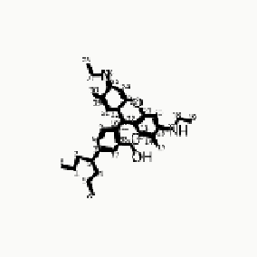 CCCC(CCC)c1ccc(C2c3cc(C)c(NCC)cc3OC3=C/C(=N/CC)C(C)=CC32)c(C(=O)O)c1